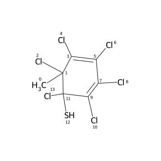 CC1(Cl)C(Cl)=C(Cl)C(Cl)=C(Cl)C1(S)Cl